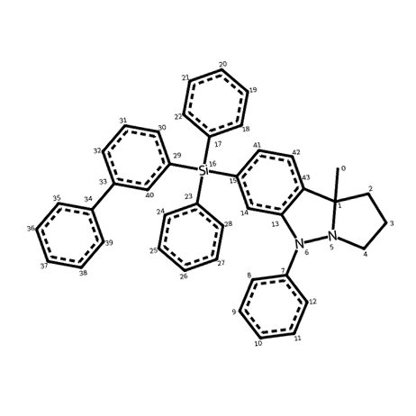 CC12CCCN1N(c1ccccc1)c1cc([Si](c3ccccc3)(c3ccccc3)c3cccc(-c4ccccc4)c3)ccc12